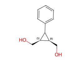 OC[C@@H]1C(c2ccccc2)[C@@H]1CO